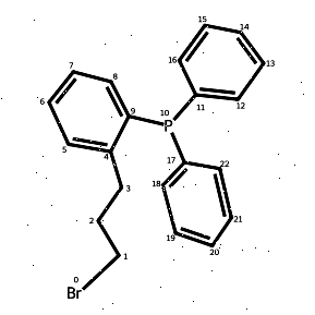 BrCCCc1ccccc1P(c1ccccc1)c1ccccc1